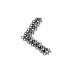 O=P(O)(O)O.O=P(O)(O)O.O=P(O)(O)O.O=P(O)(O)O.O=P(O)(O)O.O=P(O)(O)O.O=P(O)(O)O.O=P(O)(O)O.O=P(O)(O)O.O=P(O)(O)O.[KH]